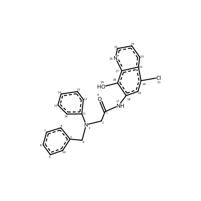 O=C(CN(Cc1ccccc1)c1ccccc1)Nc1cc(Cl)c2cccnc2c1O